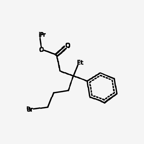 CCC(CCCBr)(CC(=O)OC(C)C)c1ccccc1